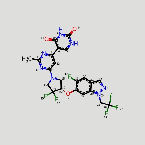 Cc1nc(-c2c[nH]c(=O)[nH]c2=O)cc(N2C[C@H](Oc3cc4c(cnn4CC(F)(F)F)cc3F)C(F)(F)C2)n1